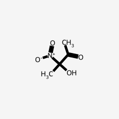 CC(=O)C(C)(O)[N+](=O)[O-]